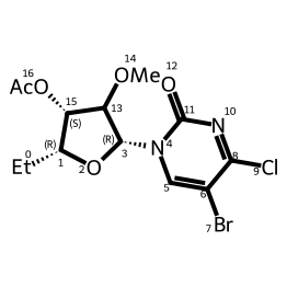 CC[C@H]1O[C@@H](n2cc(Br)c(Cl)nc2=O)C(OC)[C@H]1OC(C)=O